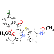 CO/N=C\CC1=C(C)N(CC2CCCO2)/C(=C/C(=O)c2cc(Cl)ccc2OC)S1